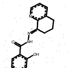 O=C(N/N=C1\CCCc2cccnc21)c1ccccc1O